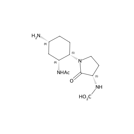 CC(=O)N[C@@H]1C[C@H](N)CC[C@@H]1N1CC[C@H](NC(=O)O)C1=O